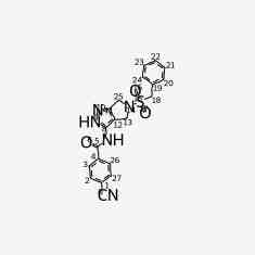 N#Cc1ccc(C(=O)Nc2[nH]nc3c2CN(S(=O)(=O)Cc2ccccc2)C3)cc1